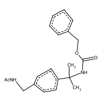 CC(=O)NCc1ccc(C(C)(C)NC(=O)OCc2ccccc2)cc1